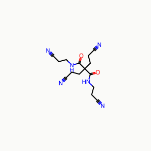 N#CCCNC(=O)C(CCC#N)(CCC#N)C(=O)NCCC#N